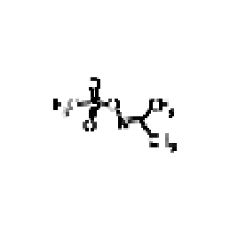 C/C(=N/OS(=O)(=O)C(F)(F)F)C(F)(F)F